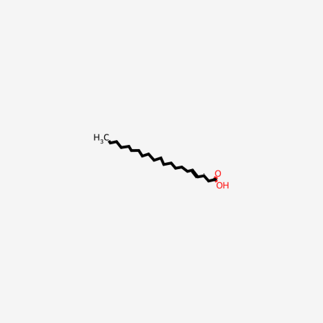 CCCCCCCCCCCCCCCC/C=C/[CH]CC(=O)O